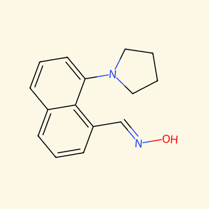 ON=Cc1cccc2cccc(N3CCCC3)c12